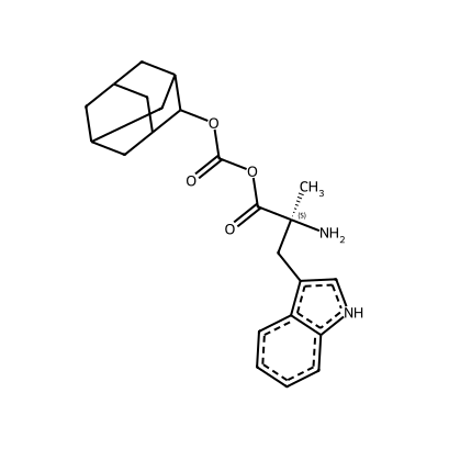 C[C@](N)(Cc1c[nH]c2ccccc12)C(=O)OC(=O)OC1C2CC3CC(C2)CC1C3